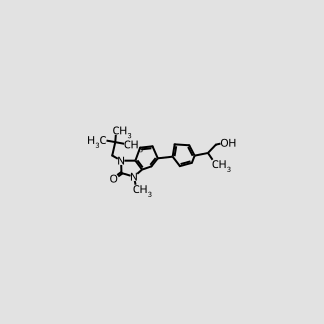 CC(CO)c1ccc(-c2ccc3c(c2)n(C)c(=O)n3CC(C)(C)C)cc1